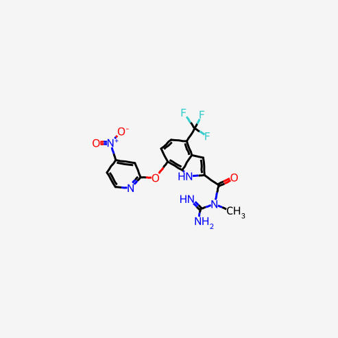 CN(C(=N)N)C(=O)c1cc2c(C(F)(F)F)ccc(Oc3cc([N+](=O)[O-])ccn3)c2[nH]1